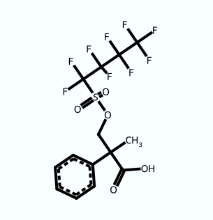 CC(COS(=O)(=O)C(F)(F)C(F)(F)C(F)(F)C(F)(F)F)(C(=O)O)c1ccccc1